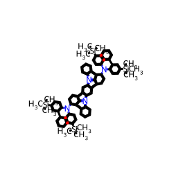 C[Si](C)(C)c1ccc(N(c2ccc([Si](C)(C)C)cc2-c2ccccc2)c2ccc3c4cc5c(cc4n4c6ccccc6c2c34)c2ccc(N(c3ccc([Si](C)(C)C)cc3)c3ccc([Si](C)(C)C)cc3-c3ccccc3)c3c4ccccc4n5c23)cc1